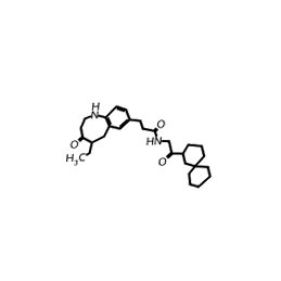 CCC1Cc2cc(CCC(=O)NCC(=O)C3CCCC4(CCCCC4)C3)ccc2NCCC1=O